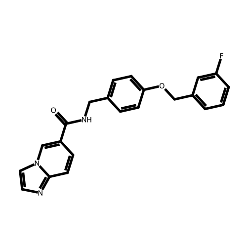 O=C(NCc1ccc(OCc2cccc(F)c2)cc1)c1ccc2nccn2c1